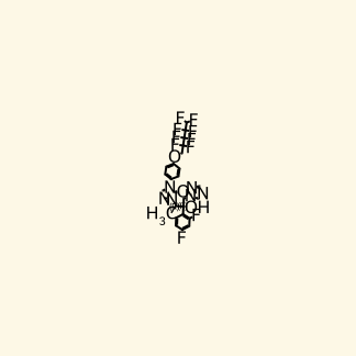 C[C@@H](n1ncn(-c2ccc(OCC(F)(F)C(F)(F)C(F)(F)C(F)F)cc2)c1=O)[C@](O)(Cn1cncn1)c1ccc(F)cc1F